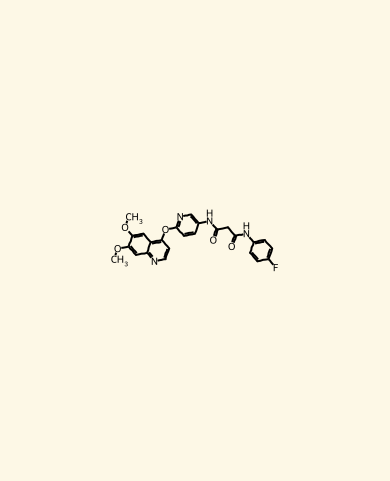 COc1cc2nccc(Oc3ccc(NC(=O)CC(=O)Nc4ccc(F)cc4)cn3)c2cc1OC